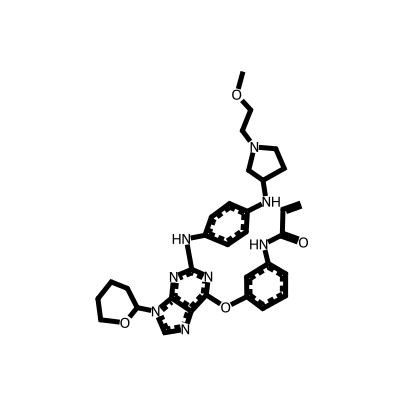 C=CC(=O)Nc1cccc(Oc2nc(Nc3ccc(NC4CCN(CCOC)C4)cc3)nc3c2ncn3C2CCCCO2)c1